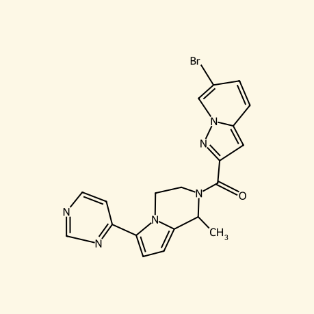 CC1c2ccc(-c3ccncn3)n2CCN1C(=O)c1cc2ccc(Br)cn2n1